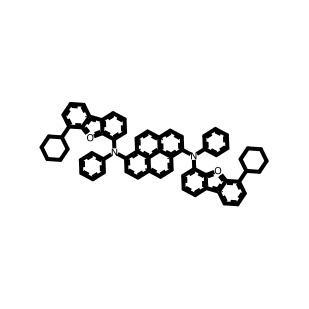 c1ccc(N(c2ccc3ccc4c(N(c5ccccc5)c5cccc6c5oc5c(C7CCCCC7)cccc56)ccc5ccc2c3c54)c2cccc3c2oc2c(C4CCCCC4)cccc23)cc1